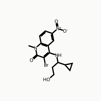 Cn1c(=O)c(Br)c(NC(CCO)C2CC2)c2cc([N+](=O)[O-])ccc21